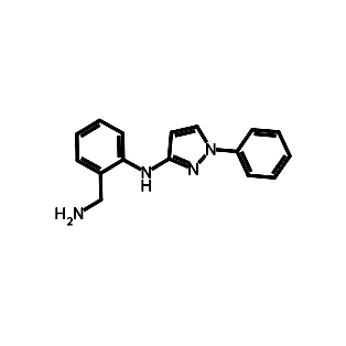 NCc1ccccc1Nc1ccn(-c2ccccc2)n1